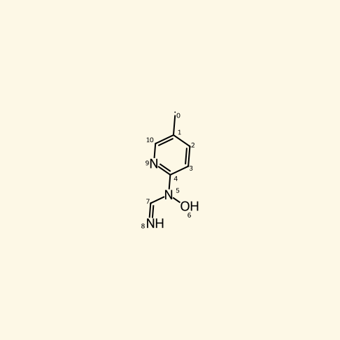 [CH2]c1ccc(N(O)C=N)nc1